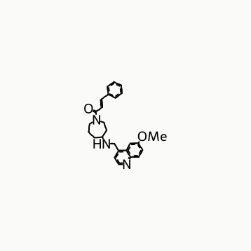 COc1ccc2nccc(CNC3CCCN(C(=O)/C=C/c4ccccc4)CC3)c2c1